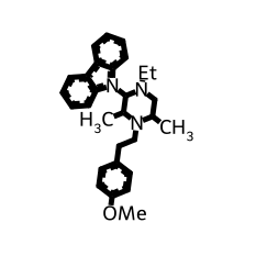 CCN1CC(C)N(CCc2ccc(OC)cc2)C(C)C1n1c2ccccc2c2ccccc21